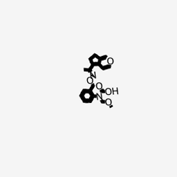 COCN(C(=O)O)c1ccccc1CON=C(C)C1=C2C=COC=C2CC1